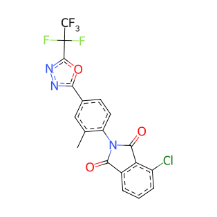 Cc1cc(-c2nnc(C(F)(F)C(F)(F)F)o2)ccc1N1C(=O)c2cccc(Cl)c2C1=O